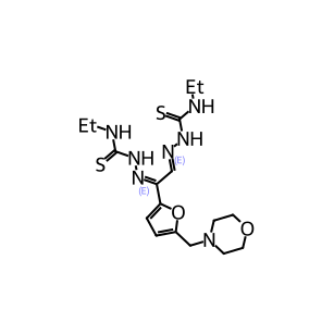 CCNC(=S)N/N=C/C(=N\NC(=S)NCC)c1ccc(CN2CCOCC2)o1